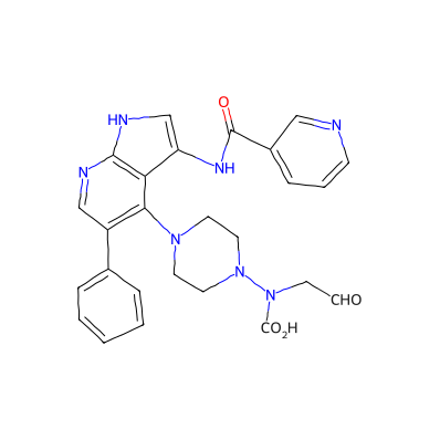 O=CCN(C(=O)O)N1CCN(c2c(-c3ccccc3)cnc3[nH]cc(NC(=O)c4cccnc4)c23)CC1